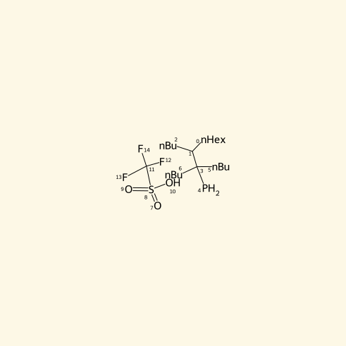 CCCCCCC(CCCC)C(P)(CCCC)CCCC.O=S(=O)(O)C(F)(F)F